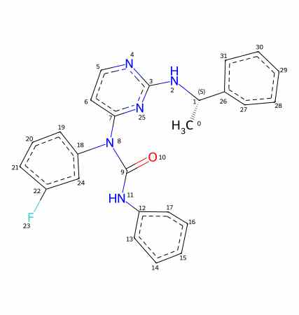 C[C@H](Nc1nccc(N(C(=O)Nc2ccccc2)c2cccc(F)c2)n1)c1ccccc1